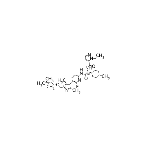 CCn1nccc1C(=O)N[C@H](C(=O)Nc1ccc(-c2c(C)nn(COCC[Si](C)(C)C)c2C)c(F)n1)C1CCC(C)CC1